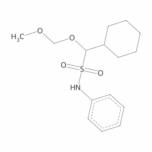 COCOC(C1CCCCC1)S(=O)(=O)Nc1ccccc1